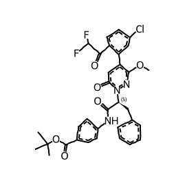 COc1nn([C@@H](Cc2ccccc2)C(=O)Nc2ccc(C(=O)OC(C)(C)C)cc2)c(=O)cc1-c1cc(Cl)ccc1C(=O)C(F)F